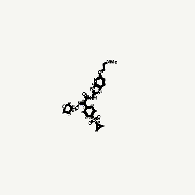 CNCCOc1ccc2sc(NC(=O)/C(=N/O[C@@H]3CCOC3)c3ccc(S(=O)(=O)C4CC4)cc3)nc2n1